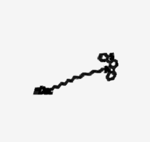 CCCCCCCCCCCCCCCCCCCCCCCn1c2ccccc2c2ccc3sc4ccccc4c3c21